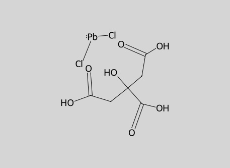 O=C(O)CC(O)(CC(=O)O)C(=O)O.[Cl][Pb][Cl]